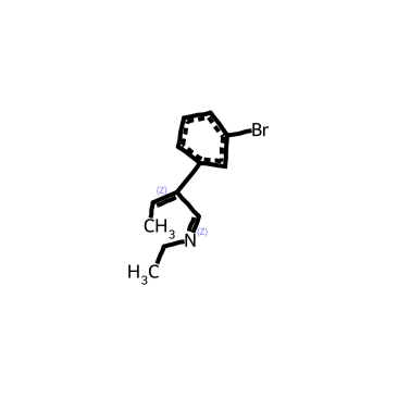 C/C=C(\C=N/CC)c1cccc(Br)c1